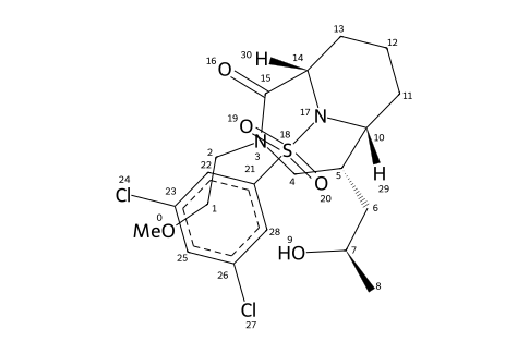 COCCN1C[C@@H](C[C@@H](C)O)[C@H]2CCC[C@@H](C1=O)N2S(=O)(=O)c1cc(Cl)cc(Cl)c1